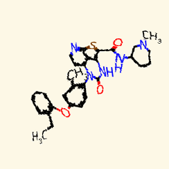 CCc1ccccc1Oc1ccc(N2C(=O)Nc3c(C(=O)NC4CCCN(C)C4)sc4nccc2c34)c(C)c1